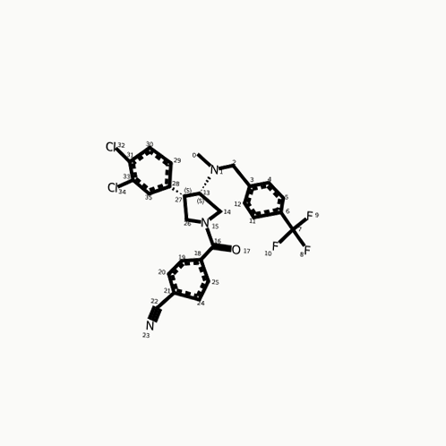 CN(Cc1ccc(C(F)(F)F)cc1)[C@@H]1CN(C(=O)c2ccc(C#N)cc2)C[C@@H]1c1ccc(Cl)c(Cl)c1